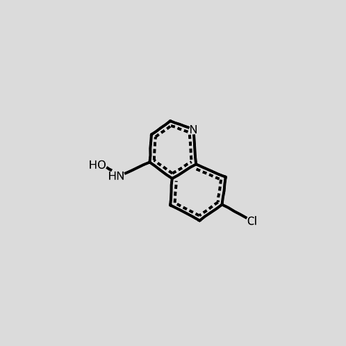 ONc1ccnc2cc(Cl)ccc12